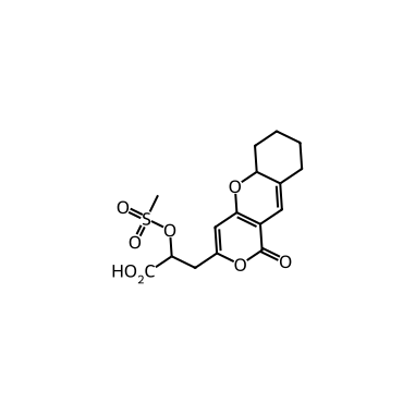 CS(=O)(=O)OC(Cc1cc2c(c(=O)o1)C=C1CCCCC1O2)C(=O)O